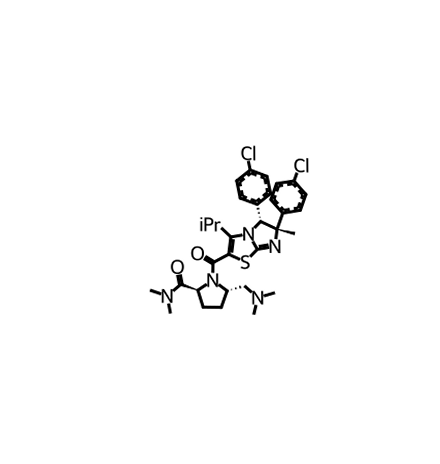 CC(C)C1=C(C(=O)N2[C@H](CN(C)C)CC[C@H]2C(=O)N(C)C)SC2=N[C@@](C)(c3ccc(Cl)cc3)[C@@H](c3ccc(Cl)cc3)N21